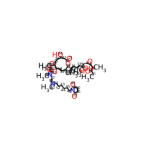 CC[C@H](O)[C@@H](C)[C@H]1O[C@@H]1CC(C)(O)/C=C/C=C(\C)[C@H]1OC(=O)C[C@H](O)CC[C@@](C)(OC)[C@@H](OC(=O)N(C)CCN(C)CCCCCCN2C(=O)C=CC2=O)/C=C/[C@@H]1C